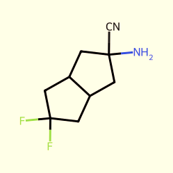 N#CC1(N)CC2CC(F)(F)CC2C1